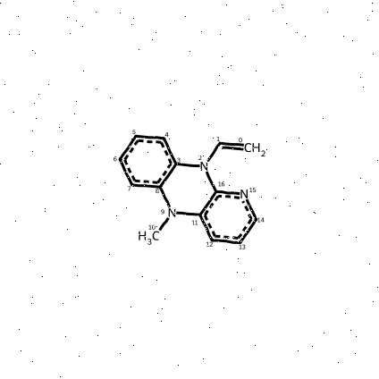 C=CN1c2ccccc2N(C)c2cccnc21